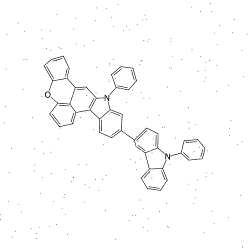 c1ccc(-n2c3ccccc3c3cc(-c4ccc5c6c7cccc8c7c(cc6n(-c6ccccc6)c5c4)-c4ccccc4O8)ccc32)cc1